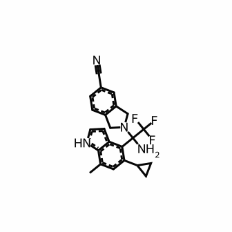 Cc1cc(C2CC2)c(C(N)(N2Cc3ccc(C#N)cc3C2)C(F)(F)F)c2cc[nH]c12